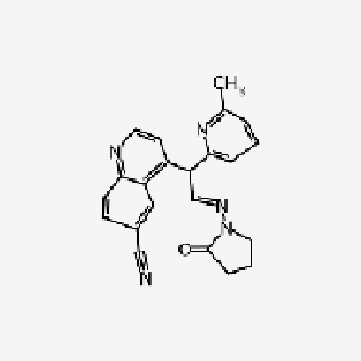 Cc1cccc(C(C=NN2CCCC2=O)c2ccnc3ccc(C#N)cc23)n1